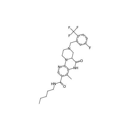 CCCCCNC(=O)c1cnc2c(c1C)NC(=O)C1CN(Cc3cc(F)ccc3C(F)(F)F)CCN21